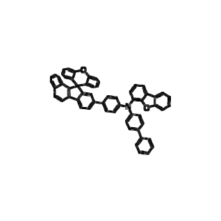 c1ccc(-c2ccc(N(c3ccc(-c4ccc5c(c4)C4(c6ccccc6Oc6ccccc64)c4c-5ccc5ccccc45)cc3)c3cccc4c3oc3ccccc34)cc2)cc1